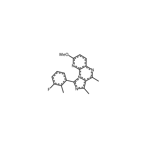 COc1ccc2nc(C)c3c(C)nc(-c4cccc(F)c4C)n3c2n1